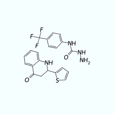 NNC(=O)Nc1ccc(C(F)(F)F)cc1.O=C1CC(c2cccs2)Nc2ccccc21